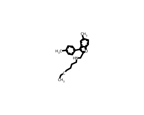 CCCCCCCNCc1oc2ccc(C)cc2c1-c1ccc(C)cc1